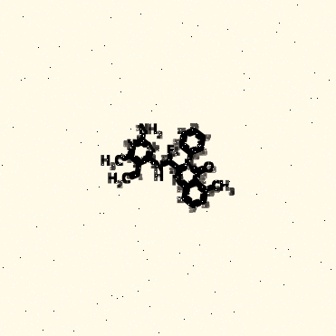 C=Cc1c(C)nc(N)nc1NC(CC)c1nc2cccc(C)c2c(=O)n1-c1ccccc1